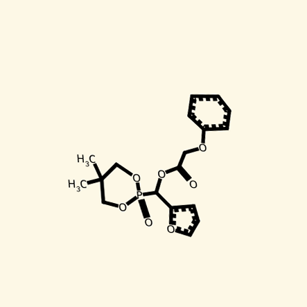 CC1(C)COP(=O)(C(OC(=O)COc2ccccc2)c2ccco2)OC1